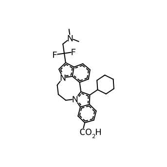 CN(C)CC(F)(F)c1cn2c3c(cccc13)-c1c(C3CCCCC3)c3ccc(C(=O)O)cc3n1CCC2